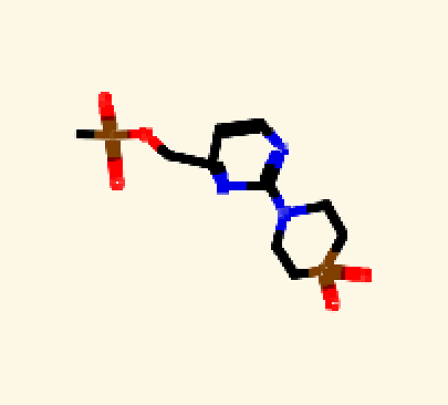 CS(=O)(=O)OCc1ccnc(N2CCS(=O)(=O)CC2)n1